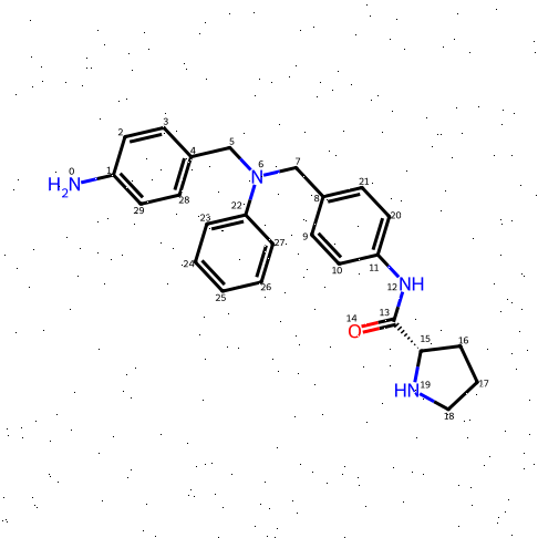 Nc1ccc(CN(Cc2ccc(NC(=O)[C@@H]3CCCN3)cc2)c2ccccc2)cc1